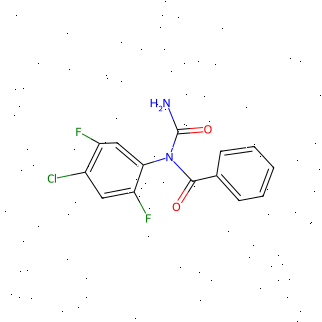 NC(=O)N(C(=O)c1ccccc1)c1cc(F)c(Cl)cc1F